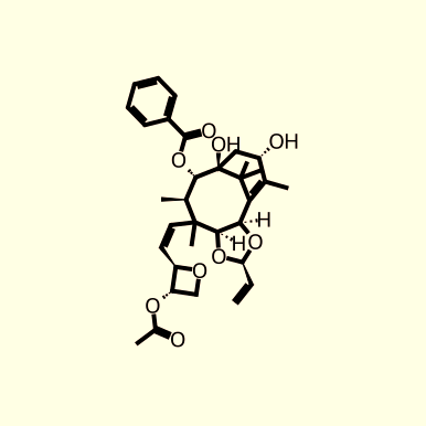 C=C[C@@H]1O[C@@H]2C3=C(C)[C@@H](O)C[C@@](O)([C@@H](OC(=O)c4ccccc4)[C@H](C)C(C)(/C=C\[C@H]4OC[C@@H]4OC(C)=O)[C@@H]2O1)C3(C)C